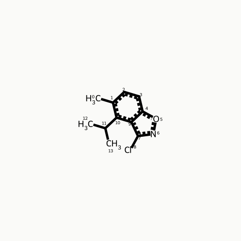 Cc1ccc2onc(Cl)c2c1C(C)C